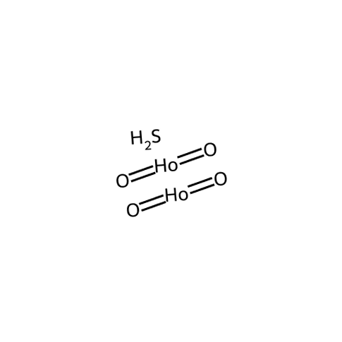 S.[O]=[Ho]=[O].[O]=[Ho]=[O]